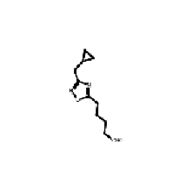 O=CCCCCc1nc(CC2CC2)no1